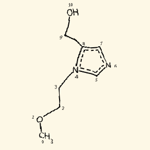 COCCn1cncc1CO